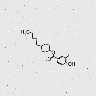 CCCCCC1CCC(OC(=O)c2ccc(O)c(I)c2)CC1